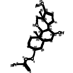 C=C(CCC)OO[C@H]1CC[C@@]2(C)C(=C[C@H](O)C3C4CCC(OC(C)=O)[C@@]4(C)COC32)C1